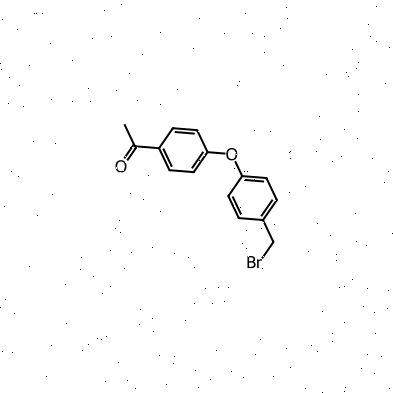 CC(=O)c1ccc(Oc2ccc(CBr)cc2)cc1